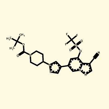 CC(C)(C)OC(=O)N1CCC(n2cc(-c3cc(OS(=O)(=O)C(F)(F)F)c4c(C#N)cnn4c3)cn2)CC1